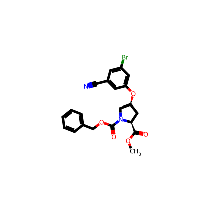 COC(=O)[C@@H]1C[C@H](Oc2cc(Br)cc(C#N)c2)CN1C(=O)OCc1ccccc1